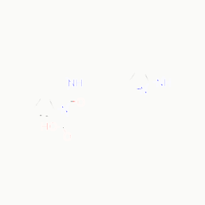 O=C(O)C(CCCCCCCc1ccc2c(n1)NCCC2)N(C(=O)C1CCCN1)c1ccccc1